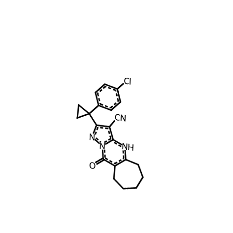 N#Cc1c(C2(c3ccc(Cl)cc3)CC2)nn2c(=O)c3c([nH]c12)CCCCC3